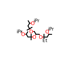 CCC(C)(CC(C)OC(C)C)OCC(COC(C)(C)CC(C)OC(C)C)OC(C)(C)CC(C)OC(C)C